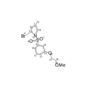 [CH2]c1cc(Br)n(S(=O)(=O)c2cccc(OCCOC)c2)c1